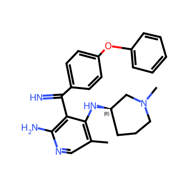 Cc1cnc(N)c(C(=N)c2ccc(Oc3ccccc3)cc2)c1N[C@@H]1CCCN(C)C1